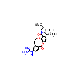 CC(C)COCCN(C(=O)c1cccc2c1OCCCc1cc(NC(=N)N)ccc1C(=O)O2)[C@@H](CC(=O)O)C(=O)O